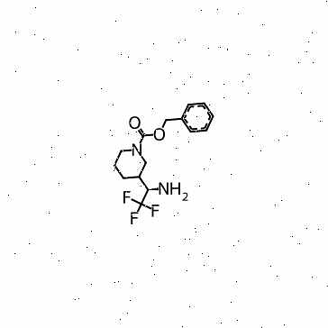 N[C@H](C1CCCN(C(=O)OCc2ccccc2)C1)C(F)(F)F